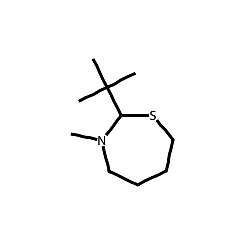 CN1CCCCSC1C(C)(C)C